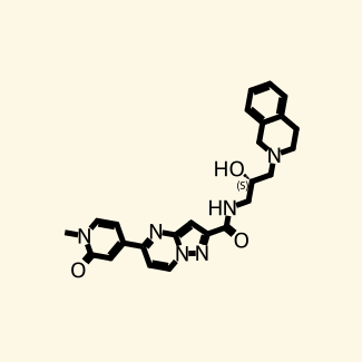 Cn1ccc(-c2ccn3nc(C(=O)NC[C@H](O)CN4CCc5ccccc5C4)cc3n2)cc1=O